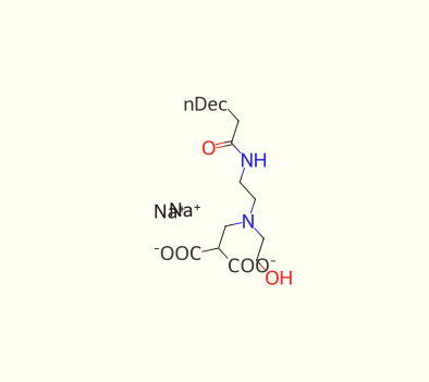 CCCCCCCCCCCC(=O)NCCN(CCO)CC(C(=O)[O-])C(=O)[O-].[Na+].[Na+]